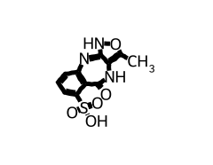 CC1=C2NC(=O)c3c(cccc3S(=O)(=O)O)N=C2NO1